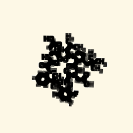 CC(C)[C@@H](NC(=O)[C@@H](CC(=O)O)NC(=O)C(=O)Nc1ccccc1C(C)(C)C)C(=O)N1CC[C@@H](CC(C)(C)C)C1C(=O)NN(CC(=O)O)C(=O)COc1c(F)c(F)cc(F)c1F